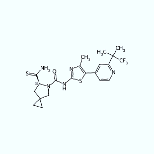 Cc1nc(NC(=O)N2CC3(CC3)C[C@H]2C(N)=S)sc1-c1ccnc(C(C)(C)C(F)(F)F)c1